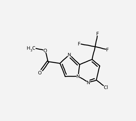 COC(=O)c1cn2nc(Cl)cc(C(F)(F)F)c2n1